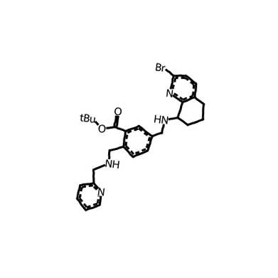 CC(C)(C)OC(=O)c1cc(CNC2CCCc3ccc(Br)nc32)ccc1CNCc1ccccn1